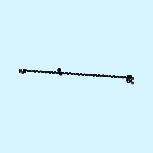 CCCCCCC=CCCCCCCCCCCCC(=O)OCCCCCCCCCCCCCCCCCCCCCCCCCCCCCCCCCCCC(C)CC